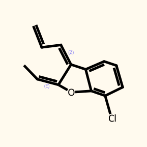 C=C/C=c1\c(=C/C)oc2c(Cl)cccc12